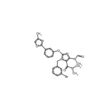 Cc1coc(-c2cccc(Oc3nc(N(C)C=O)c(C(=O)N(C)C)n3Cc3cccc(Br)c3)c2)n1